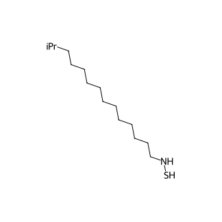 CC(C)CCCCCCCCCCCCNS